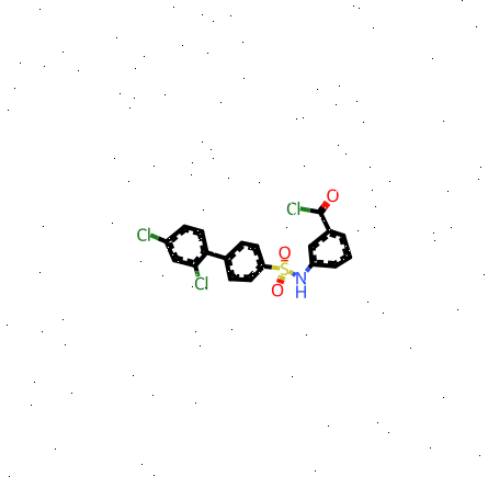 O=C(Cl)c1cccc(NS(=O)(=O)c2ccc(-c3ccc(Cl)cc3Cl)cc2)c1